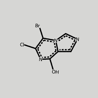 Oc1nc(Cl)c(Br)n2cncc12